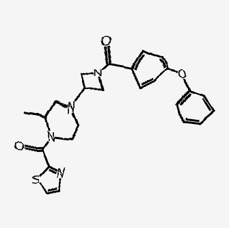 CC1CN(C2CN(C(=O)c3ccc(Oc4ccccc4)cc3)C2)CCN1C(=O)c1nccs1